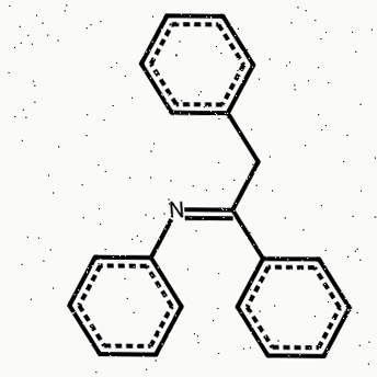 c1ccc(CC(=Nc2ccccc2)c2ccccc2)cc1